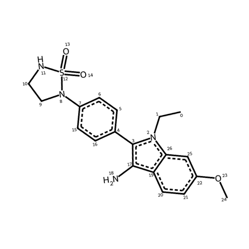 CCn1c(-c2ccc(N3CCNS3(=O)=O)cc2)c(N)c2ccc(OC)cc21